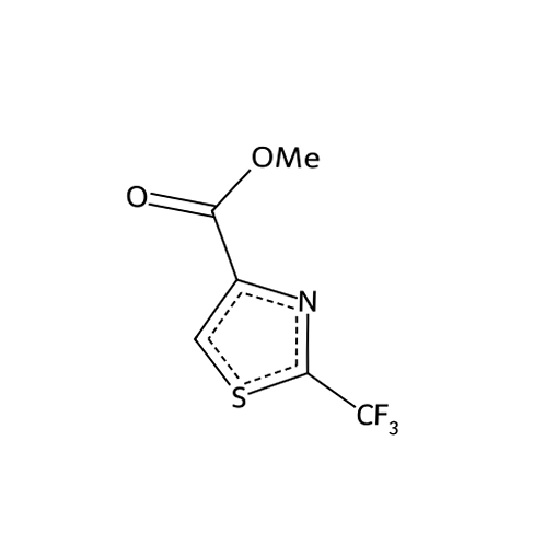 COC(=O)c1csc(C(F)(F)F)n1